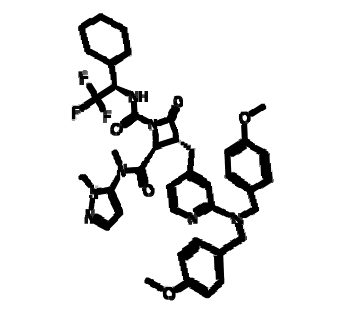 COc1ccc(CN(Cc2ccc(OC)cc2)c2cc(C[C@H]3C(=O)N(C(=O)N[C@H](C4CCCCC4)C(F)(F)F)[C@@H]3C(=O)N(C)c3ccnn3C)ccn2)cc1